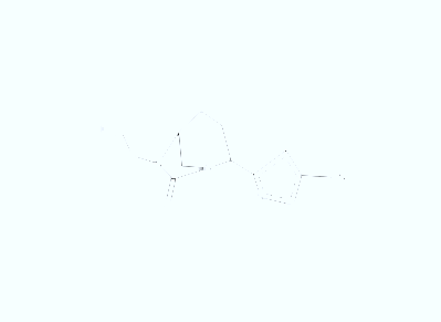 N#Cc1cc(C2CCC3CN2C(=O)N3OS(=O)(=O)O)no1